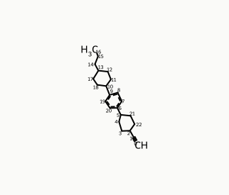 C#CC1CCC(c2ccc(C3CCC(CCC)CC3)cc2)CC1